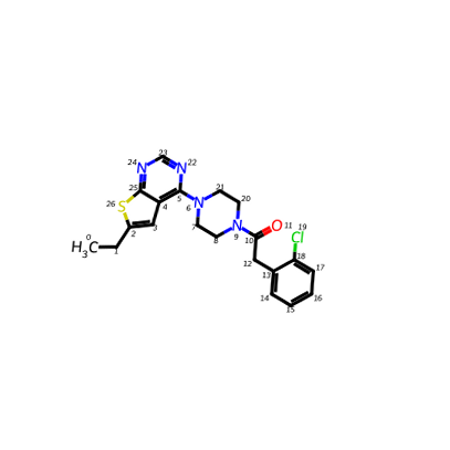 CCc1cc2c(N3CCN(C(=O)Cc4ccccc4Cl)CC3)ncnc2s1